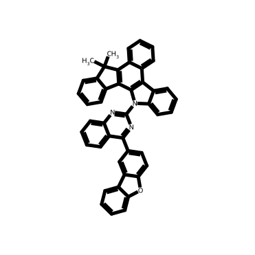 CC1(C)c2ccccc2-c2c1c1ccccc1c1c3ccccc3n(-c3nc(-c4ccc5oc6ccccc6c5c4)c4ccccc4n3)c21